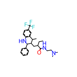 CCC(CC1C(C)c2cc(C(F)(F)F)ccc2NC1c1ccccc1)C(=O)NCCN(C)C